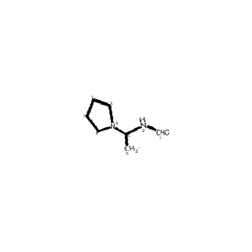 [CH2]C(NC=O)N1CCCC1